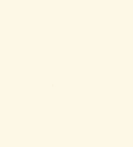 Cc1cc(CCS)c(C)s1